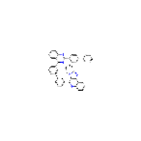 c1ccc(-c2ccc(-c3nc(-c4cccc(-c5cccc(-c6nc7ccccc7c7nc8ccccn8c67)c5)c4)c4ccccc4n3)cc2)cc1